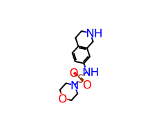 O=S(=O)(Nc1ccc2c(c1)CNCC2)N1CCOCC1